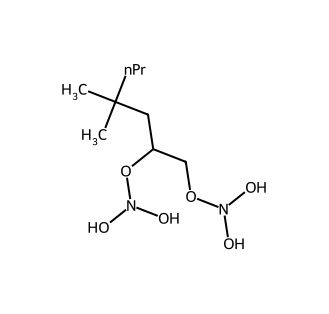 CCCC(C)(C)CC(CON(O)O)ON(O)O